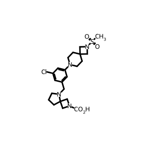 CS(=O)(=O)N1CC2(CCN(c3cc(Cl)cc(CN4CCCC45CN(C(=O)O)C5)c3)CC2)C1